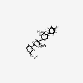 CC(C)[C@@H](NC(=O)[C@@H]1CCC[C@H](C(=O)O)C1)C(=O)N1CCC(c2ccc(Cl)cc2)C(C)(C)C1